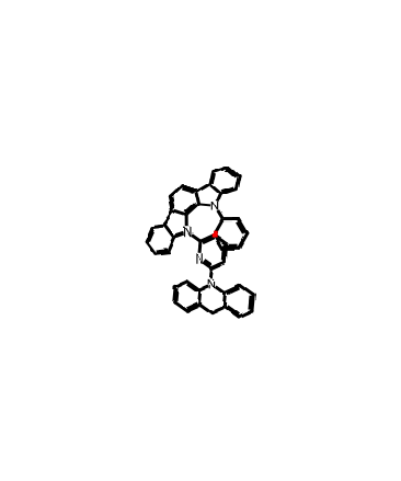 C1=CCC(n2c3ccccc3c3ccc4c(c32)N(c2cccc(N3c5ccccc5Cc5ccccc53)n2)C2C=CC=CC42)C=C1